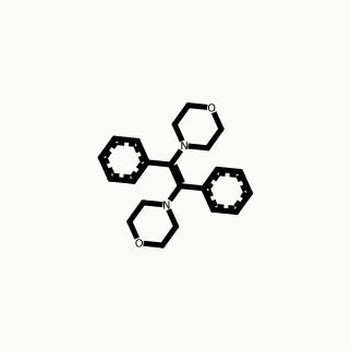 c1ccc(C(=C(c2ccccc2)N2CCOCC2)N2CCOCC2)cc1